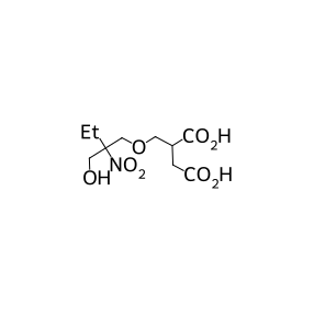 CCC(CO)(COCC(CC(=O)O)C(=O)O)[N+](=O)[O-]